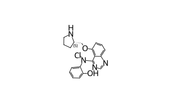 Oc1ccccc1N(Cl)c1ncnc2cccc(OC[C@@H]3CCCN3)c12